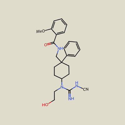 COc1ccccc1C(=O)NCC1(c2ccccc2)CCC(N(CCO)C(=N)NC#N)CC1